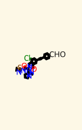 O=Cc1ccc(C#Cc2cc(Cl)c3c(c2)C(=O)N(C(C(=O)Nc2nccs2)c2ncn4c2CCC4)C3)cc1